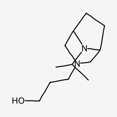 CC(C)N1C2CCC1CN(CCCO)C2